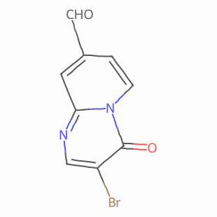 O=Cc1ccn2c(=O)c(Br)cnc2c1